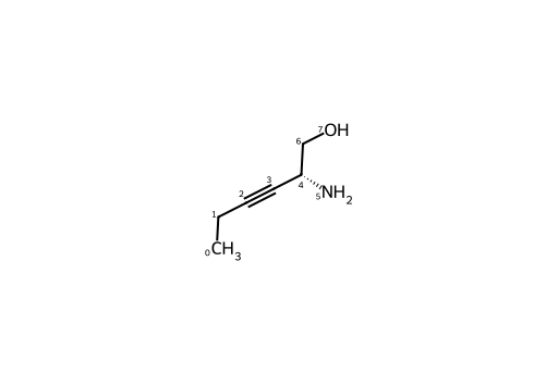 CCC#C[C@@H](N)CO